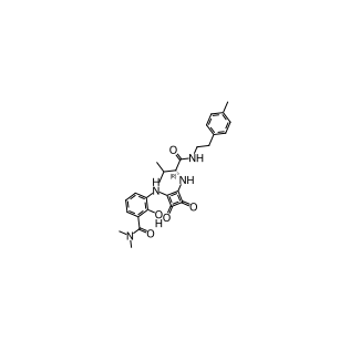 Cc1ccc(CCNC(=O)[C@H](Nc2c(Nc3cccc(C(=O)N(C)C)c3O)c(=O)c2=O)C(C)C)cc1